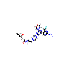 CC(C)=CC(=O)CCC(=O)N1CC(CN2CCN(c3nc(-c4cnc(N)nc4C(F)F)nc(N4CCOCC4)n3)CC2)C1